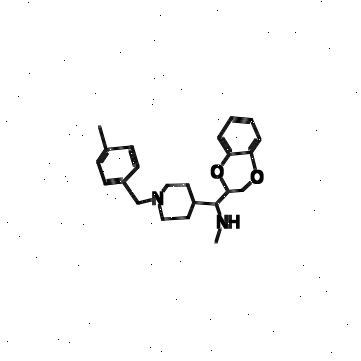 CNC(C1CCN(Cc2ccc(C)cc2)CC1)C1COc2ccccc2O1